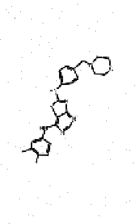 Cc1cc(Nc2ncnc3nc(Nc4ccc(CN5CCOCC5)cc4)sc23)ccc1F